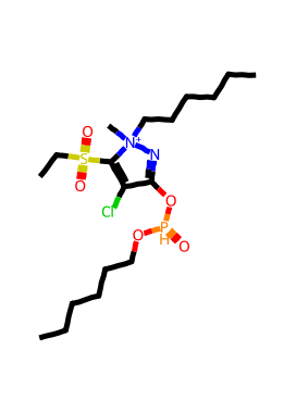 CCCCCCO[PH](=O)OC1=N[N+](C)(CCCCCC)C(S(=O)(=O)CC)=C1Cl